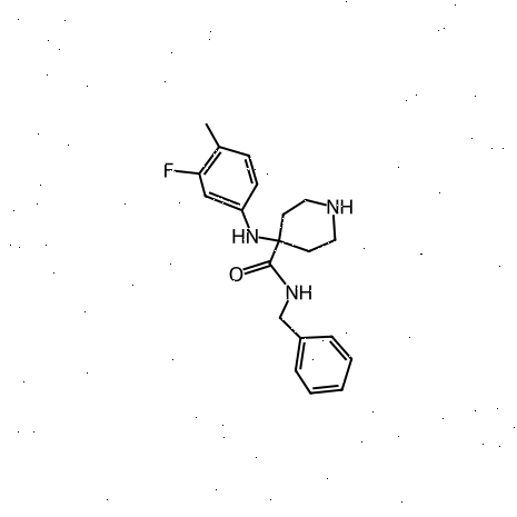 Cc1ccc(NC2(C(=O)NCc3ccccc3)CCNCC2)cc1F